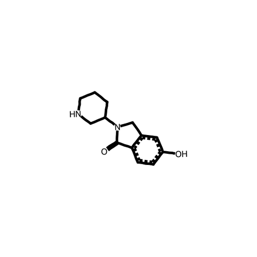 O=C1c2ccc(O)cc2CN1C1CCCNC1